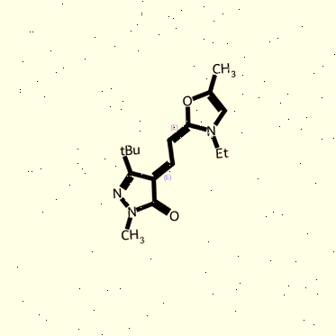 CCN1C=C(C)O/C1=C/C=C1/C(=O)N(C)N=C1C(C)(C)C